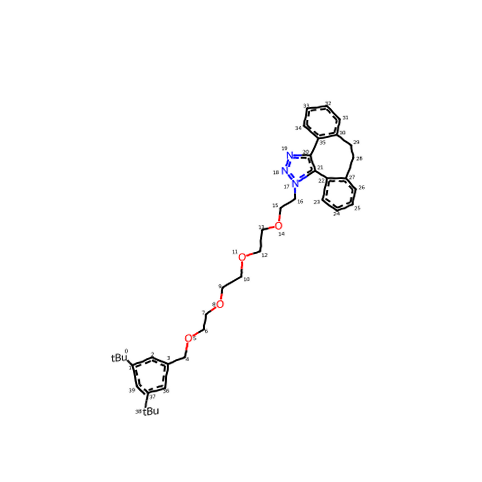 CC(C)(C)c1cc(COCCOCCOCCOCCn2nnc3c2-c2ccccc2CCc2ccccc2-3)cc(C(C)(C)C)c1